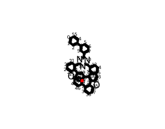 c1ccc(-c2cccc(-c3nc(-c4ccccc4)nc(-c4cccc5oc6ccc(-c7cccc8oc9cccc(-c%10ccccc%10)c9c78)cc6c45)n3)c2)cc1